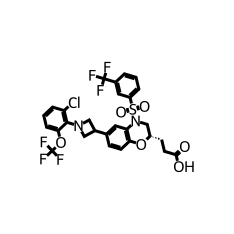 O=C(O)CC[C@H]1CN(S(=O)(=O)c2cccc(C(F)(F)F)c2)c2cc(C3CN(c4c(Cl)cccc4OC(F)(F)F)C3)ccc2O1